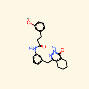 COc1cccc(CCC(=O)Nc2cccc(Cc3n[nH]c(=O)c4c3CCCC4)c2)c1